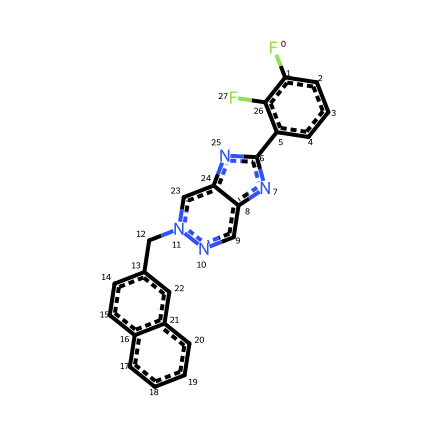 Fc1cccc(-c2nc3cnn(Cc4ccc5ccccc5c4)cc-3n2)c1F